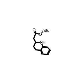 CCCCOC(=O)CC1CCc2ccccc2N1